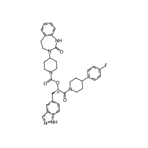 O=C(O[C@H](Cc1ccc2[nH]ncc2c1)C(=O)N1CCC(c2ccc(F)cc2)CC1)N1CCC(N2CCc3ccccc3NC2=O)CC1